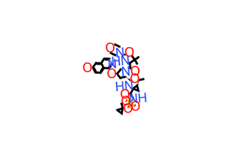 CC[C@@H]1C[C@]1(NC(=O)[C@@H]1C[C@@H](Oc2nccc3cc(OC)ccc23)CN1C(=O)[C@@H](NC(=O)N1CCOCC1)C(C)(C)C)C(=O)NS(=O)(=O)OC1(C)CC1